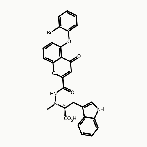 CN(NC(=O)c1cc(=O)c2c(Oc3ccccc3Br)cccc2o1)[C@@H](Cc1c[nH]c2ccccc12)C(=O)O